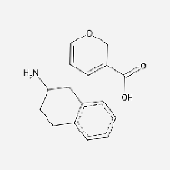 NC1CCc2ccccc2C1.O=C(O)C1=CC=COC1